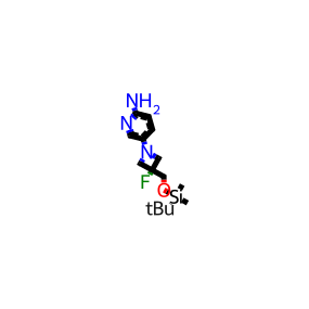 CC(C)(C)[Si](C)(C)OCC1(F)CN(c2ccc(N)nc2)C1